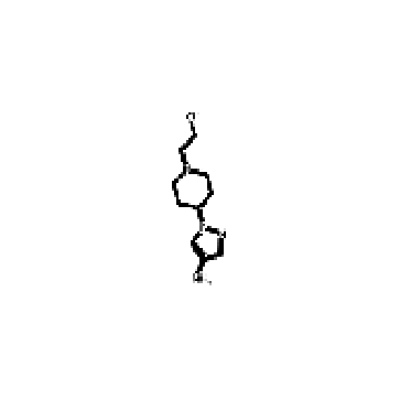 Nc1cnn(C2CCN(CCO)CC2)c1